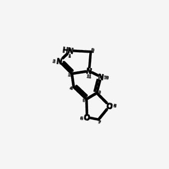 [CH]1NN=C2C=C3OCOC3=NN12